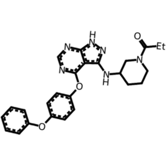 CCC(=O)N1CCCC(Nc2n[nH]c3ncnc(Oc4ccc(Oc5ccccc5)cc4)c23)C1